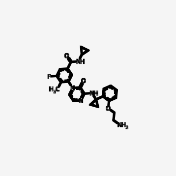 Cc1c(F)cc(C(=O)NC2CC2)cc1-n1ccnc(NC2(c3ccccc3OCCN)CC2)c1=O